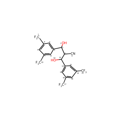 N#CC(C(O)c1cc(C(F)(F)F)cc(C(F)(F)F)c1)C(O)c1cc(C(F)(F)F)cc(C(F)(F)F)c1